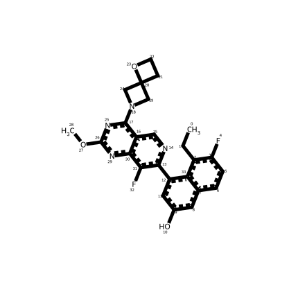 CCc1c(F)ccc2cc(O)cc(-c3ncc4c(N5CC6(CCO6)C5)nc(OC)nc4c3F)c12